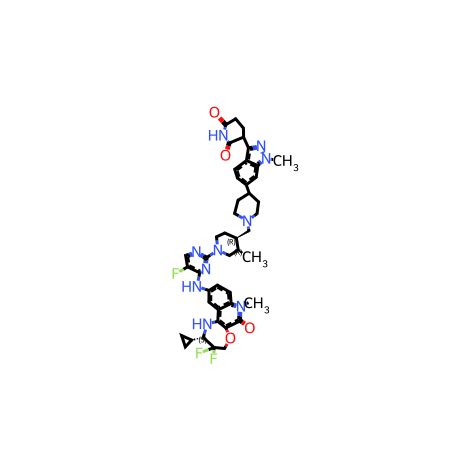 C[C@H]1CN(c2ncc(F)c(Nc3ccc4c(c3)c3c(c(=O)n4C)OCC(F)(F)[C@H](C4CC4)N3)n2)CC[C@H]1CN1CCC(c2ccc3c(C4CCC(=O)NC4=O)nn(C)c3c2)CC1